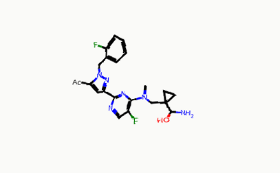 CC(=O)c1cc(-c2ncc(F)c(N(C)CC3(C(N)O)CC3)n2)nn1Cc1ccccc1F